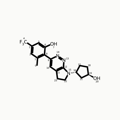 Cc1cc(C(F)(F)F)cc(O)c1-c1cc2c(nn1)N([C@@H]1CC[C@@H](O)C1)CC2